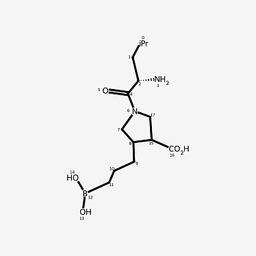 CC(C)C[C@H](N)C(=O)N1CC(CCCB(O)O)C(C(=O)O)C1